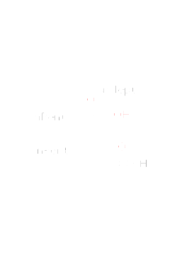 CCCCCCCOc1c(O)c(OC(=O)O)cc(CCCCC)c1CCCCC